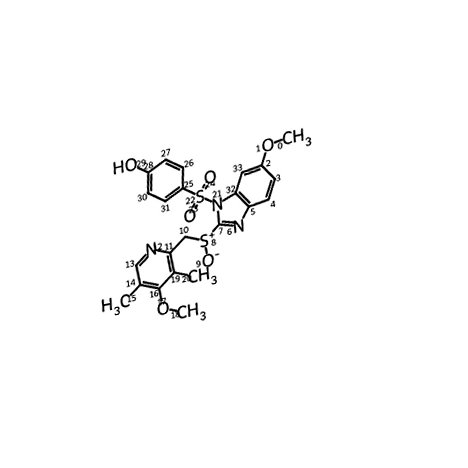 COc1ccc2nc([S+]([O-])Cc3ncc(C)c(OC)c3C)n(S(=O)(=O)c3ccc(O)cc3)c2c1